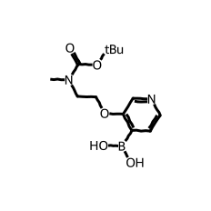 CN(CCOc1cnccc1B(O)O)C(=O)OC(C)(C)C